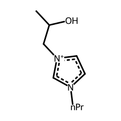 CCCn1cc[n+](CC(C)O)c1